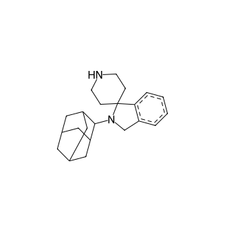 c1ccc2c(c1)CN(C1C3CC4CC(C3)CC1C4)C21CCNCC1